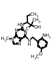 CCC(Nc1nc(NCc2cc(OC)ccc2N)c2ncn(C)c2n1)C(C)(C)O